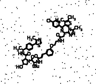 Cc1ncsc1-c1ccc([C@H](C)NC(=O)[C@@H]2C[C@@H](O)CN2C(=O)[C@@H](NC(=O)/C=C/c2cccc(OCCNC(=O)CC3N=C(c4ccc(Cl)cc4)c4c(sc(C)c4C)-n4c(C)nnc43)c2)C(C)(C)C)cc1